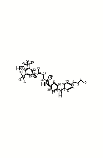 CCCCc1ccc(Nc2ccc(NC(=O)CCC(C)Sc3cc(C(C)(C)C)c(O)c(C(C)(C)C)c3)cc2)cc1